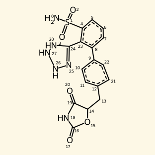 NS(=O)(=O)c1cccc(-c2ccc(CC3OC(=O)NC3=O)cc2)c1C1=NNNN1